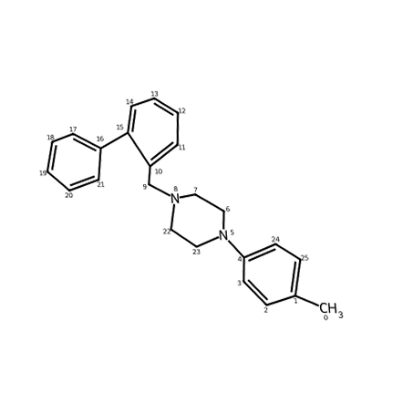 Cc1ccc(N2CCN(Cc3ccccc3-c3ccccc3)CC2)cc1